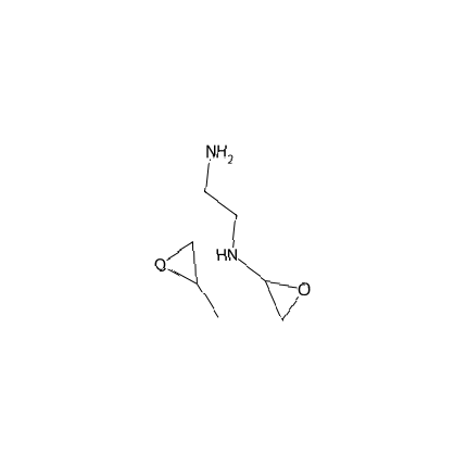 CC1CO1.NCCNC1CO1